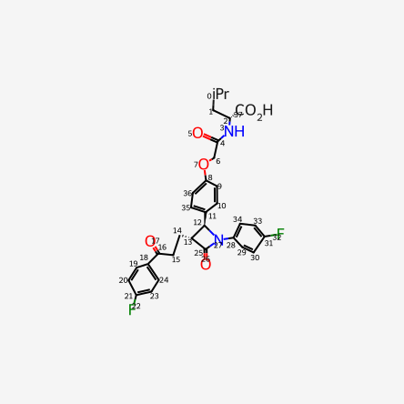 CC(C)C[C@@H](NC(=O)COc1ccc([C@@H]2[C@@H](CCC(=O)c3ccc(F)cc3)C(=O)N2c2ccc(F)cc2)cc1)C(=O)O